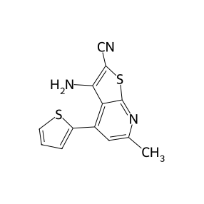 Cc1cc(-c2cccs2)c2c(N)c(C#N)sc2n1